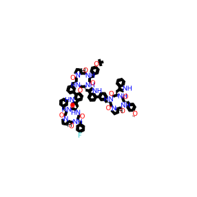 COc1ccc(C[C@@H]2NC(=O)[C@H]3CCCN3C(=O)[C@H](Cc3cccc(-c4cccc5c(C[C@H]6NC(=O)[C@H](Cc7ccc(OC(C)(C)C)cc7)NC(=O)[C@H]7CCCN7C(=O)[C@H](Cc7cccc(-c8cccc9c(C[C@H]%10NC(=O)[C@H](Cc%11ccc(F)cc%11)NC(=O)[C@H]%11CCCN%11C(=O)[C@H](Cc%11ccccc%11)NC%10=O)c[nH]c89)c7)NC6=O)c[nH]c45)c3)NC(=O)[C@@H](Cc3c[nH]c4ccccc34)NC2=O)cc1